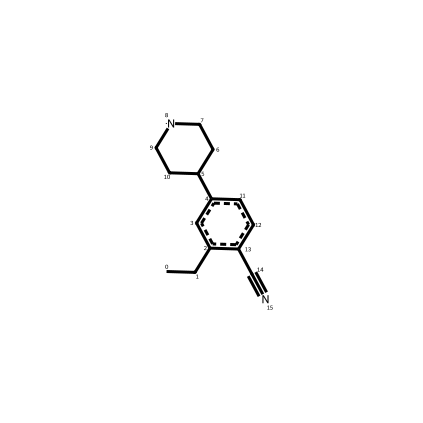 CCc1cc(C2CC[N]CC2)ccc1C#N